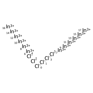 [Cl-].[Cl-].[Cl-].[Cl-].[Cl-].[Cl-].[In+3].[In+3].[In+3].[In+3].[In+3].[In+3].[In+3].[In+3].[In+3].[In+3].[In+3].[In+3]